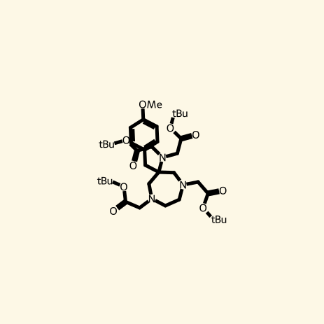 COc1ccc(CC2(N(CC(=O)OC(C)(C)C)CC(=O)OC(C)(C)C)CN(CC(=O)OC(C)(C)C)CCN(CC(=O)OC(C)(C)C)C2)cc1